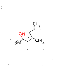 C=CCC(C)CC(O)C(C)(C)C